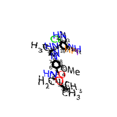 C=C(NC(=O)c1ccc(-n2cc(C)c(Nc3ccc(NPI)c(C=N)c3Cl)n2)cc1OC)OC=C(C)C